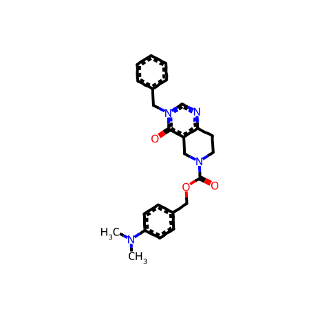 CN(C)c1ccc(COC(=O)N2CCc3ncn(Cc4ccccc4)c(=O)c3C2)cc1